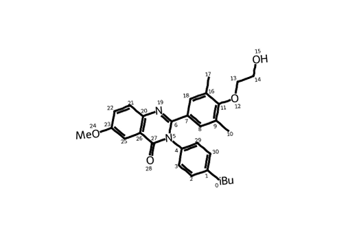 CCC(C)c1ccc(-n2c(-c3cc(C)c(OCCO)c(C)c3)nc3ccc(OC)cc3c2=O)cc1